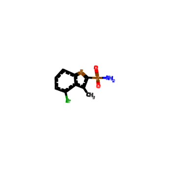 Cc1c(S(N)(=O)=O)sc2cccc(Br)c12